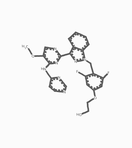 COc1cnc(-c2nn(Cc3c(F)cc(OCCO)cc3F)c3ccccc23)nc1Nc1ccncn1